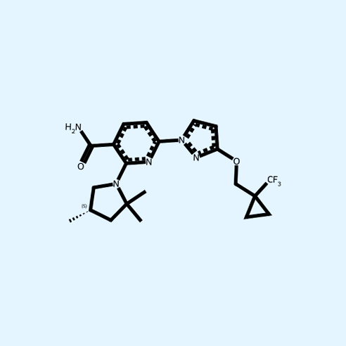 C[C@@H]1CN(c2nc(-n3ccc(OCC4(C(F)(F)F)CC4)n3)ccc2C(N)=O)C(C)(C)C1